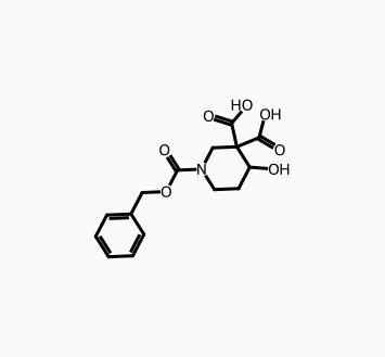 O=C(OCc1ccccc1)N1CCC(O)C(C(=O)O)(C(=O)O)C1